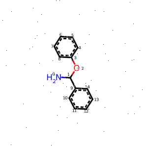 NC(Oc1ccccc1)c1cc[c]cc1